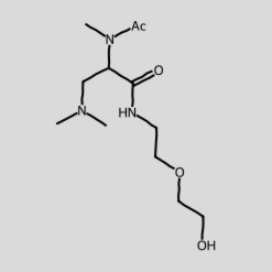 CC(=O)N(C)C(CN(C)C)C(=O)NCCOCCO